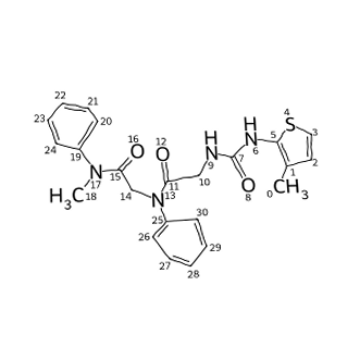 Cc1ccsc1NC(=O)NCC(=O)N(CC(=O)N(C)c1ccccc1)c1ccccc1